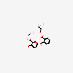 CC(C)(C)OC(=O)c1ccccc1C(=O)O.CCCCOC(=O)c1ccccc1C(=O)O